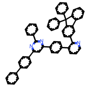 c1ccc(-c2ccc(-c3cc(-c4ccc(-c5cccnc5-c5ccc6c(c5)-c5ccccc5C6(c5ccccc5)c5ccccc5)cc4)nc(-c4ccccc4)n3)cc2)cc1